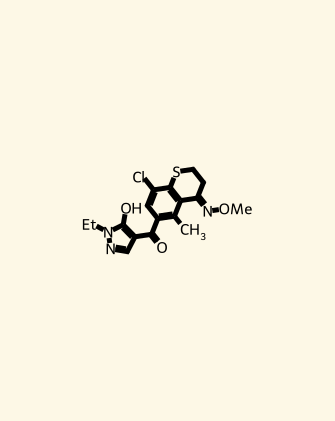 CCn1ncc(C(=O)c2cc(Cl)c3c(c2C)C(=NOC)CCS3)c1O